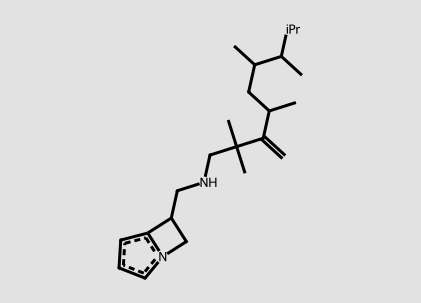 C=C(C(C)CC(C)C(C)C(C)C)C(C)(C)CNCC1Cn2cccc21